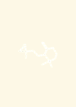 C=C1CCCC(C)(C)C1CCC1(C)CO1